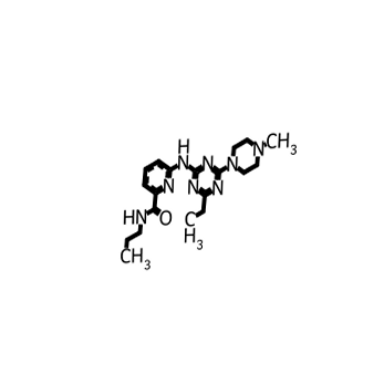 CCCNC(=O)c1cccc(Nc2nc(CC)nc(N3CCN(C)CC3)n2)n1